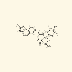 CCCN1C[C@@H]2CC/C(=C\c3ccc(-n4cnc(C)c4)c(OC)c3)C(=O)N2[C@H](c2cc(F)c(F)c(F)c2)C1